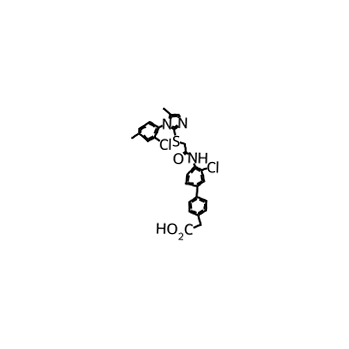 Cc1ccc(-n2c(C)cnc2SCC(=O)Nc2ccc(-c3ccc(CC(=O)O)cc3)cc2Cl)c(Cl)c1